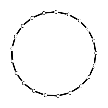 [CH]1CCCCCCCCCCCCCCCCCCCC1